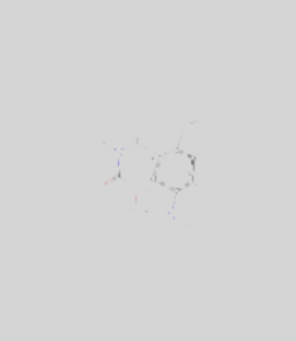 CCSc1ccc(N)cc1CN(C)C(=O)OC(C)(C)C